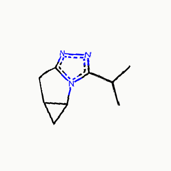 CC(C)c1nnc2n1C1CC1C2